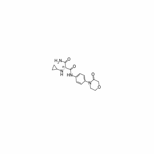 NC(=O)[C@@H](NC1CC1)C(=O)Nc1ccc(N2CCOCC2=O)cc1